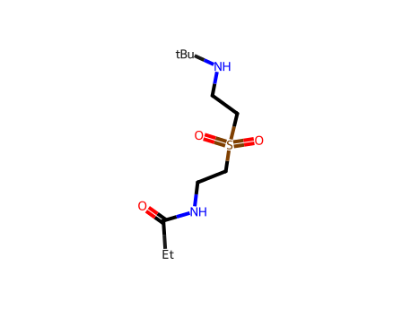 CCC(=O)NCCS(=O)(=O)CCNC(C)(C)C